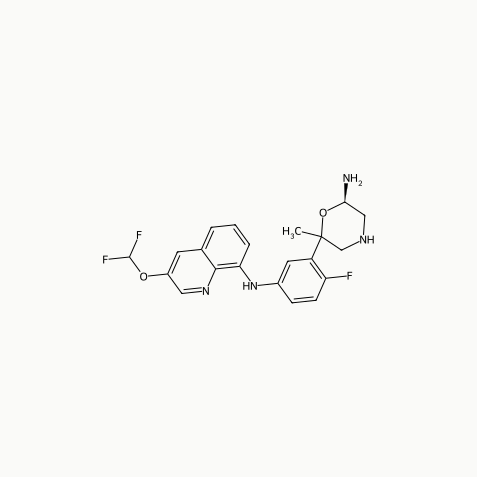 CC1(c2cc(Nc3cccc4cc(OC(F)F)cnc34)ccc2F)CNC[C@H](N)O1